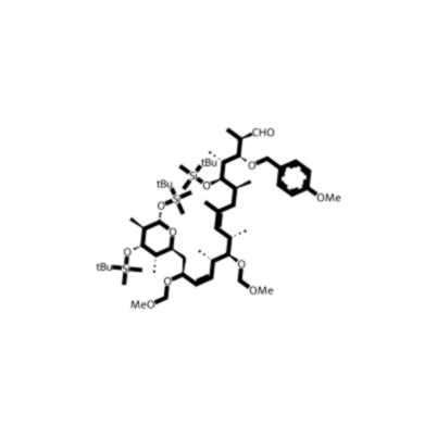 COCO[C@@H]([C@@H](C)/C=C\[C@H](C[C@@H]1O[C@@H](O[Si](C)(C)C(C)(C)C)[C@H](C)[C@@H](O[Si](C)(C)C(C)(C)C)[C@H]1C)OCOC)[C@@H](C)/C=C(/C)C[C@H](C)[C@@H](O[Si](C)(C)C(C)(C)C)[C@H](C)[C@@H](OCc1ccc(OC)cc1)[C@@H](C)C=O